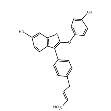 O=C(O)/C=C/Cc1ccc(-c2c(Oc3ccc(O)cc3)sc3cc(O)ccc23)cc1